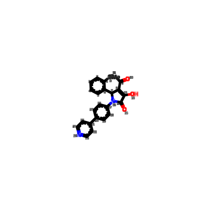 COc1ccccc1C1C(C(=O)C(C)(C)C)=C(O)C(=O)N1c1ccc(-c2ccncc2)cc1